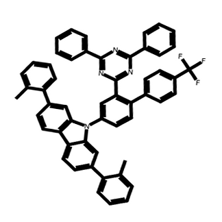 Cc1ccccc1-c1ccc2c3ccc(-c4ccccc4C)cc3n(-c3ccc(-c4ccc(C(F)(F)F)cc4)c(-c4nc(-c5ccccc5)nc(-c5ccccc5)n4)c3)c2c1